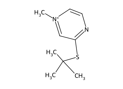 C[n+]1ccnc(SC(C)(C)C)c1